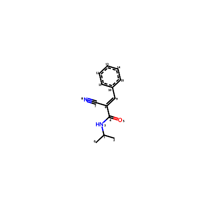 CC(C)NC(=O)/C(C#N)=C/c1ccccc1